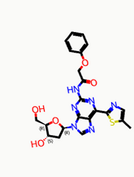 Cc1cnc(-c2nc(NC(=O)COc3ccccc3)nc3c2ncn3[C@H]2C[C@H](O)[C@@H](CO)O2)s1